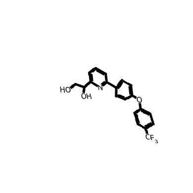 OCC(O)c1cccc(-c2ccc(Oc3ccc(C(F)(F)F)cc3)cc2)n1